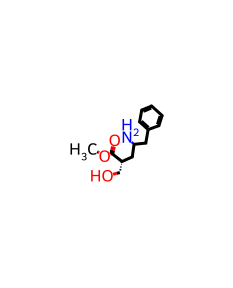 COC(=O)[C@@H](CO)C[C@@H](N)Cc1ccccc1